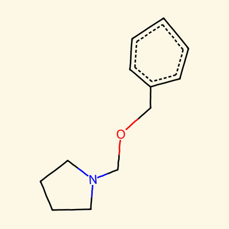 c1ccc(COCN2CCCC2)cc1